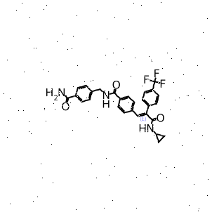 NC(=O)c1ccc(CNC(=O)c2ccc(/C=C(/C(=O)NC3CC3)c3ccc(C(F)(F)F)cc3)cc2)cc1